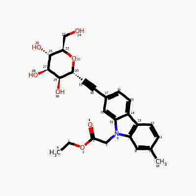 CCOC(=O)Cn1c2cc(C)ccc2c2ccc(C#C[C@H]3O[C@H](CO)[C@@H](O)[C@H](O)[C@@H]3O)cc21